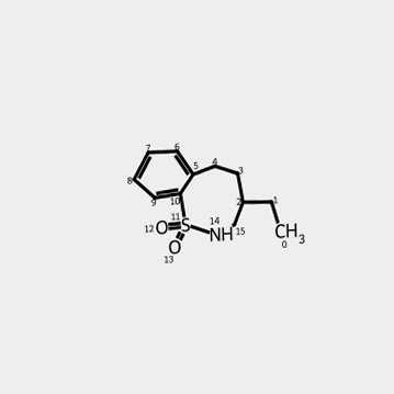 CCC1CCc2ccccc2S(=O)(=O)NC1